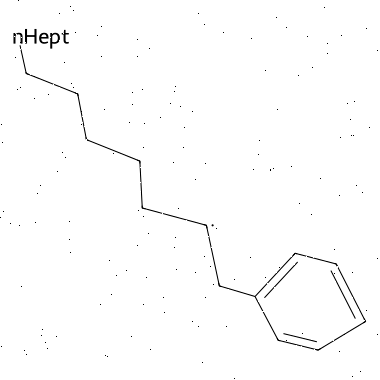 CCCCCCCCCCCC[CH]Cc1ccccc1